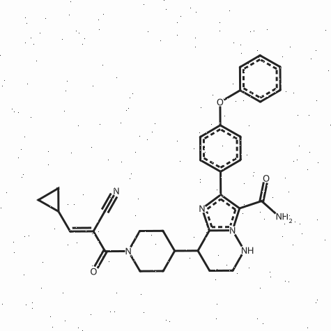 N#C/C(=C\C1CC1)C(=O)N1CCC(C2CCNn3c2nc(-c2ccc(Oc4ccccc4)cc2)c3C(N)=O)CC1